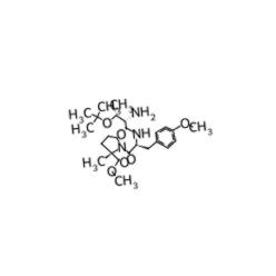 COC(=O)[C@]1(C)CCCN1C(=O)[C@H](Cc1ccc(OC)cc1)NC(=O)[C@@H](N)[C@@H](C)OC(C)(C)C